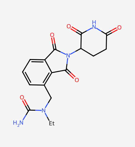 CCN(Cc1cccc2c1C(=O)N(C1CCC(=O)NC1=O)C2=O)C(N)=O